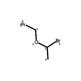 CC(C)COC(C)Br